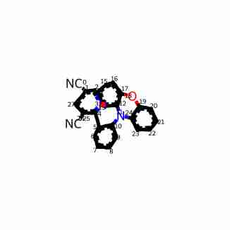 N#Cc1cnc(-c2ccccc2N2c3ccccc3Oc3ccccc32)c(C#N)c1